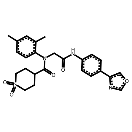 Cc1ccc(N(CC(=O)Nc2ccc(-c3cocn3)cc2)C(=O)C2CCS(=O)(=O)CC2)c(C)c1